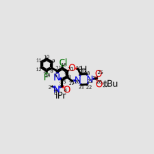 CC(C)N(C)C(=O)c1nc(-c2ccccc2F)c(Cl)c2c1CN1CCN(C(=O)OC(C)(C)C)C[C@@H]1CO2